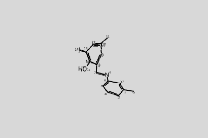 Cc1cccc(/N=C/c2cc(C)cc(I)c2O)c1